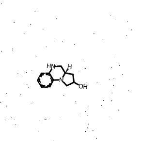 OC1C[C@H]2CNc3ccccc3N2C1